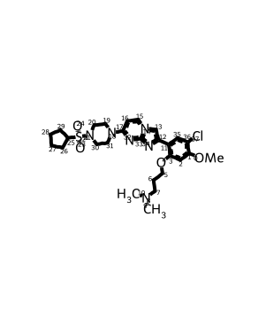 COc1cc(OCCCN(C)C)c(-c2cn3ccc(N4CCN(S(=O)(=O)C5CCCC5)CC4)nc3n2)cc1Cl